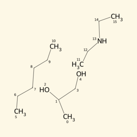 CC(O)CO.CCCCCC.CCNCC